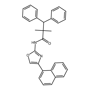 CC(C)(C(=O)Nc1nc(-c2cccc3ccccc23)co1)C(c1ccccc1)c1ccccc1